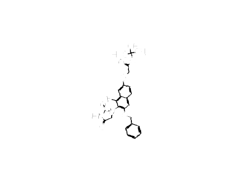 CC(C)(C)OC(=O)COc1ccc2cc(OCc3ccccc3)c(N3CC(=O)N[S+]3[O-])c(F)c2c1